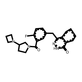 O=C(c1cc(Cc2n[nH]c(=O)c3ccccc23)ccc1F)N1CCC(N2CCC2)C1